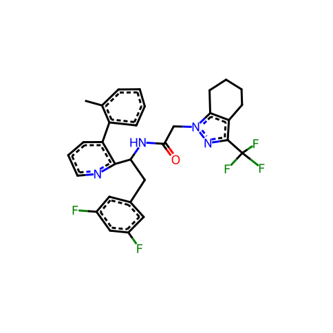 Cc1ccccc1-c1cccnc1C(Cc1cc(F)cc(F)c1)NC(=O)Cn1nc(C(F)(F)F)c2c1CCCC2